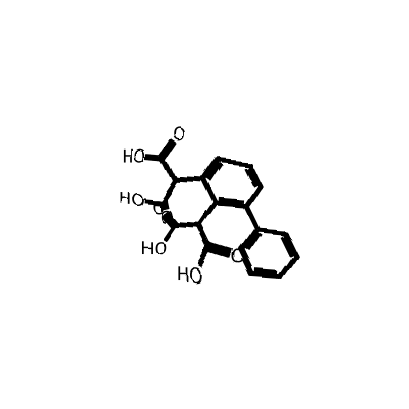 O=C(O)C(C(=O)O)c1cccc(-c2ccccc2)c1C(C(=O)O)C(=O)O